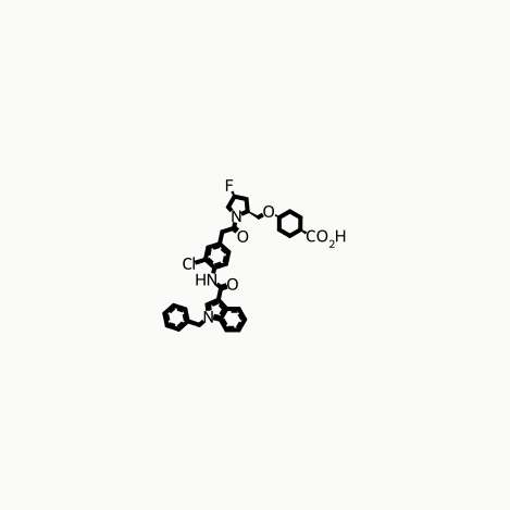 O=C(Nc1ccc(CC(=O)N2C[C@@H](F)C[C@H]2CO[C@H]2CC[C@H](C(=O)O)CC2)cc1Cl)c1cn(Cc2ccccc2)c2ccccc12